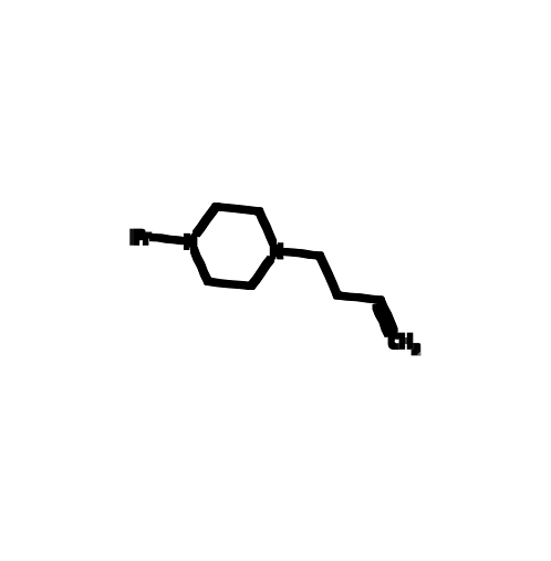 C=CCCN1CCN(C(C)C)CC1